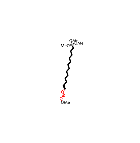 COOOOC=CCCCCCCCCCCC[Si](OC)(OC)OC